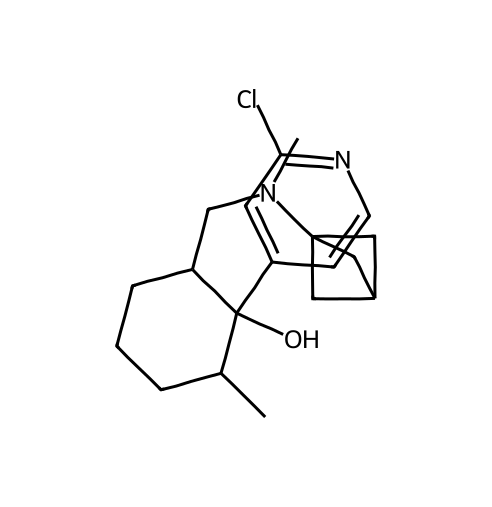 CC1CCCC(CN(C)C23CC(C2)C3)C1(O)c1ccnc(Cl)c1